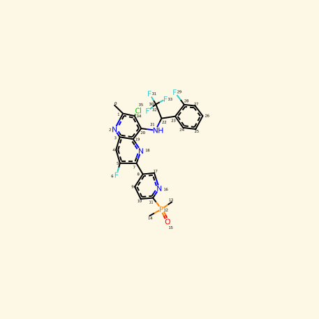 Cc1nc2cc(F)c(-c3ccc(P(C)(C)=O)nc3)nc2c(NC(c2ccccc2F)C(F)(F)F)c1Cl